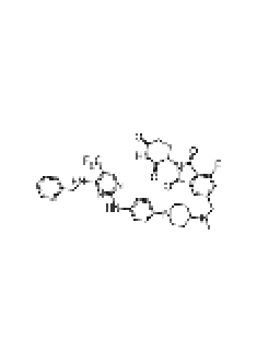 CN(Cc1cc(F)c2c(c1)C(=O)N(C1CCC(=O)NC1=O)C2=O)C1CCN(c2ccc(Nc3ncc(C(F)(F)F)c(NCc4ccccc4)n3)cc2)CC1